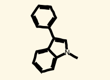 Cn1cc(-c2ccccc2)c2cc[c]cc21